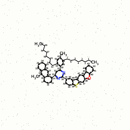 CCCCCCCCc1cc(-c2cc(-c3cccc4c(C)c5ccccc5cc34)nc(-c3ccc4sc5cc6oc7ccccc7c6cc5c4c3)n2)c(CCCCCCCC)cc1C